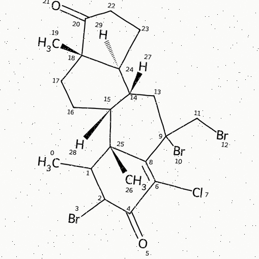 CC1C(Br)C(=O)C(Cl)=C2C(Br)(CBr)C[C@@H]3[C@@H](CC[C@]4(C)C(=O)CC[C@@H]34)[C@]21C